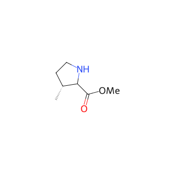 COC(=O)C1NCC[C@H]1C